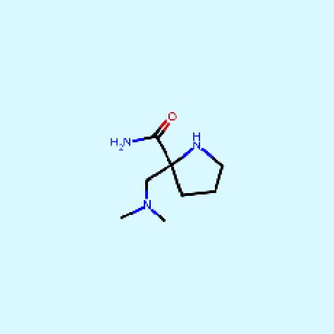 CN(C)CC1(C(N)=O)CCCN1